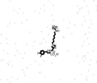 CC(C)(C)OC(=O)NCCCCCCCn1cc(C(=O)NC(CCc2ccc(F)c(F)c2)C(=O)O)nn1